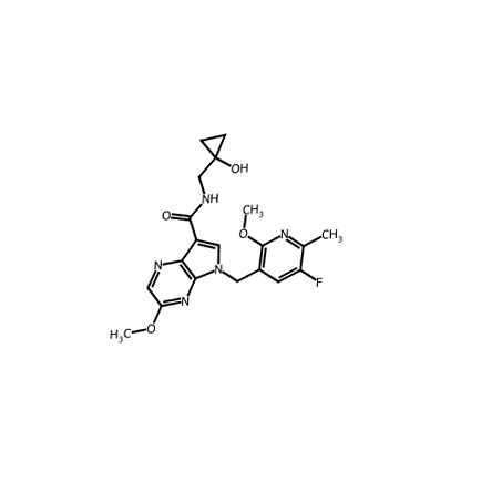 COc1cnc2c(C(=O)NCC3(O)CC3)cn(Cc3cc(F)c(C)nc3OC)c2n1